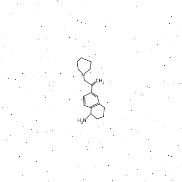 C=C(CN1CCCCC1)c1ccc2c(c1)CCCC2N